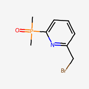 CP(C)(=O)c1cccc(CBr)n1